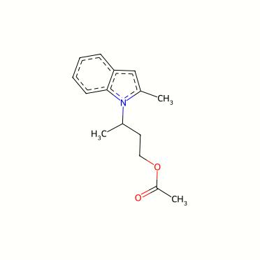 CC(=O)OCCC(C)n1c(C)cc2ccccc21